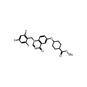 CC(C)(C)OC(=O)C1CCC(Oc2ccc3c(c2)c(=O)ncn3Cc2c(F)cc(F)cc2F)CC1